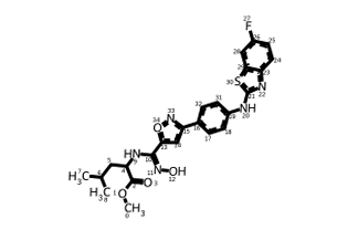 COC(=O)C(CC(C)C)NC(=NO)c1cc(-c2ccc(Nc3nc4ccc(F)cc4s3)cc2)no1